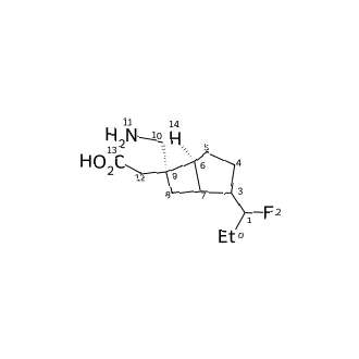 CCC(F)C1CC[C@H]2C1C[C@@]2(CN)CC(=O)O